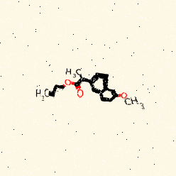 CCCCOC(=O)[C@@H](C)c1ccc2cc(OC)ccc2c1